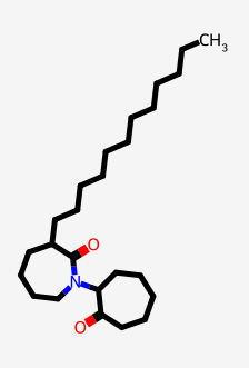 CCCCCCCCCCCCC1CCCCN(C2CCCCCC2=O)C1=O